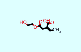 CC=C(CC(=O)OCCO)C(=O)O